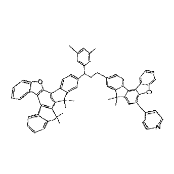 Cc1cc(C)cc(C(CCc2ccc3c(c2)C(C)(C)c2cc(-c4ccncc4)c4oc5ccccc5c4c2-3)c2ccc3c(c2)C(C)(C)c2c4c(c5c(oc6ccccc65)c2-3)-c2ccccc2C4(C)C)c1